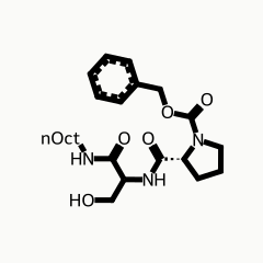 CCCCCCCCNC(=O)C(CO)NC(=O)[C@H]1CCCN1C(=O)OCc1ccccc1